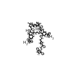 CCn1nc(C)cc1C(=O)Nc1nc2cc(S(N)(=O)=O)ccc2n1CC=CCn1c(NC(=O)c2cc(C)nn2C)nc2cc(C(N)=O)cc(OCCC3CN(C(=O)CCN4C(=O)C=CC4=O)C3)c21